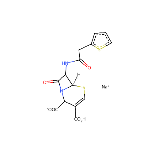 O=C(Cc1cccs1)NC1C(=O)N2C(C(=O)[O-])C(C(=O)O)=CS[C@H]12.[Na+]